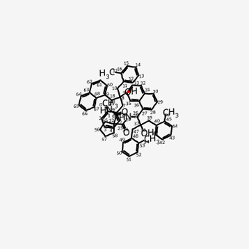 Cc1ccccc1CC(O)(Cc1ccccc1C)[C@@H](NC(=O)C1(C(=O)N[C@@H](c2cccc3ccccc23)C(O)(Cc2ccccc2C)Cc2ccccc2C)CCCC1)c1cccc2ccccc12